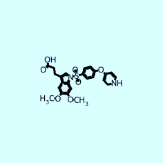 COc1cc2c(CCC(=O)O)cn(S(=O)(=O)c3ccc(OC4=CCNC=C4)cc3)c2cc1OC